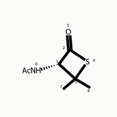 CC(=O)N[C@@H]1C(=O)SC1(C)C